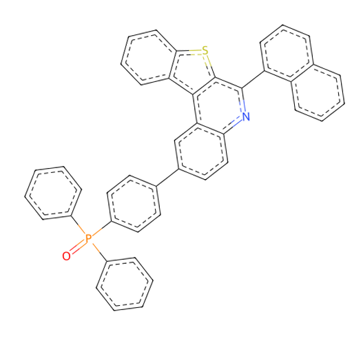 O=P(c1ccccc1)(c1ccccc1)c1ccc(-c2ccc3nc(-c4cccc5ccccc45)c4sc5ccccc5c4c3c2)cc1